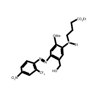 CCOC(=O)CCCN(CC)c1cc(CO)c(N=Nc2ccc([N+](=O)[O-])cc2C(F)(F)F)cc1OC